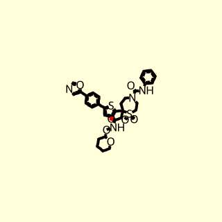 O=C(CC1(c2ccc(-c3ccc(-c4cnco4)cc3)s2)CCN(C(=O)Nc2ccccc2)CCS1(=O)=O)NOC1CCCCO1